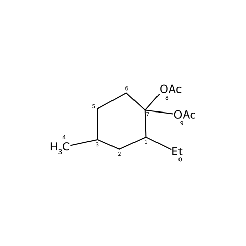 CCC1CC(C)CCC1(OC(C)=O)OC(C)=O